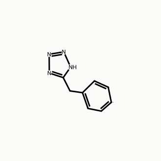 [c]1ccc(Cc2nnn[nH]2)cc1